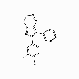 Fc1cc(-c2nn3c(c2-c2ccncc2)C=NCC3)ccc1Cl